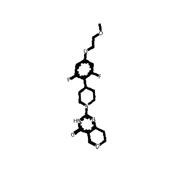 COCCOc1cc(F)c(C2CCN(c3nc4c(c(=O)[nH]3)COCC4)CC2)c(F)c1